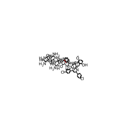 COc1ccc(O)c(CN(c2nc(-c3ccc(Cl)cc3)cc(-c3ccc(Cl)cc3)n2)C(O)C(=O)NC(C(=O)NC(NC(=N)N)C(=O)NC(NC(=N)N)C(=O)NC(NC(=N)N)C(=O)NC(NC(=N)N)C(N)=O)c2ccccc2)c1